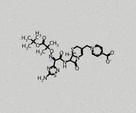 CC(C)(C)OC(=O)C(C)(C)O/N=C(\C(=O)NC1C(=O)N2C=C(C[n+]3ccc(C(=O)[O-])cc3)CS[C@H]12)c1nsc(N)n1